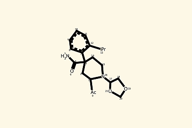 CC(=O)C1CC(C(N)=O)(c2ccccc2C(C)C)CCN1C1COCO1